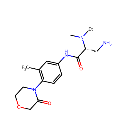 CCN(C)[C@H](CN)C(=O)Nc1ccc(N2CCOCC2=O)c(C(F)(F)F)c1